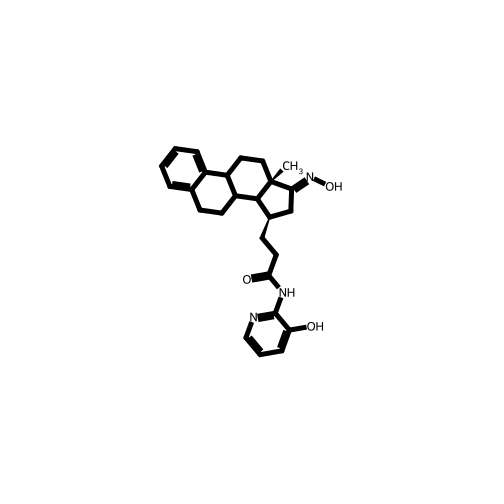 C[C@]12CCC3c4ccccc4CCC3C1[C@H](CCC(=O)Nc1ncccc1O)C/C2=N\O